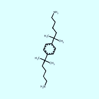 CC(C)(CCCCN)c1ccc(C(C)(C)CCCCN)cc1